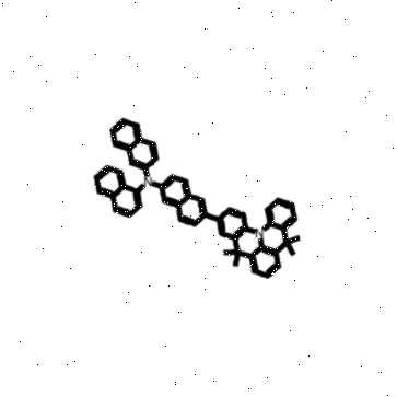 CC1(C)c2ccccc2N2c3ccc(-c4ccc5cc(N(c6ccc7ccccc7c6)c6cccc7ccccc67)ccc5c4)cc3C(C)(C)c3cccc1c32